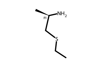 CCSC[C@@H](C)N